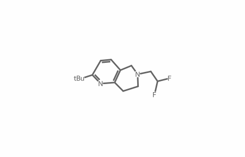 CC(C)(C)c1ccc2c(n1)CCN(CC(F)F)C2